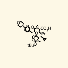 CC(C)C[C@@H](C(=O)O)N(C)C(=O)[C@@H](Cc1ccc(N2CCOCC2)nc1)OC(=O)[C@H](CC1CC1)N(C)C(=O)OC(C)(C)C